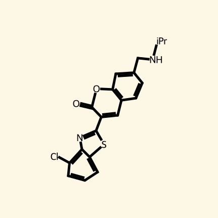 CC(C)NCc1ccc2cc(-c3nc4c(Cl)cccc4s3)c(=O)oc2c1